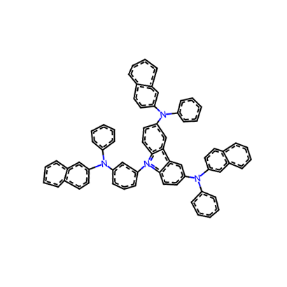 c1ccc(N(c2cccc(-n3c4ccc(N(c5ccccc5)c5ccc6ccccc6c5)cc4c4cc(N(c5ccccc5)c5ccc6ccccc6c5)ccc43)c2)c2ccc3ccccc3c2)cc1